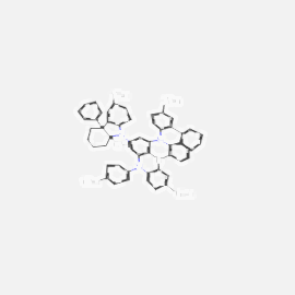 CC(C)(C)c1ccc(N2c3ccc(C(C)(C)C)cc3B3c4ccccc4N(c4ccc(C(C)(C)C)cc4-c4ccccc4)c4cc(N5c6ccc(C(C)(C)C)cc6C6(c7ccccc7)CCCCC56C)cc2c43)cc1